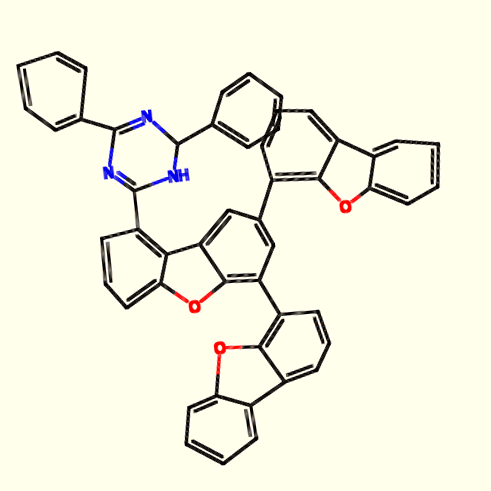 c1ccc(C2=NC(c3ccccc3)NC(c3cccc4oc5c(-c6cccc7c6oc6ccccc67)cc(-c6cccc7c6oc6ccccc67)cc5c34)=N2)cc1